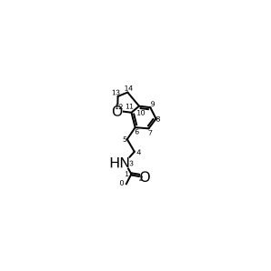 CC(=O)NCCc1cccc2c1OCC2